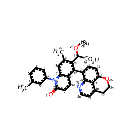 Cc1cccc(-n2c(=O)ccc3c(-c4ccc5c6c(ccnc46)CCO5)c(C(OC(C)(C)C)C(=O)O)c(C)cc32)c1